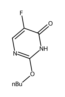 CCCCOc1ncc(F)c(=O)[nH]1